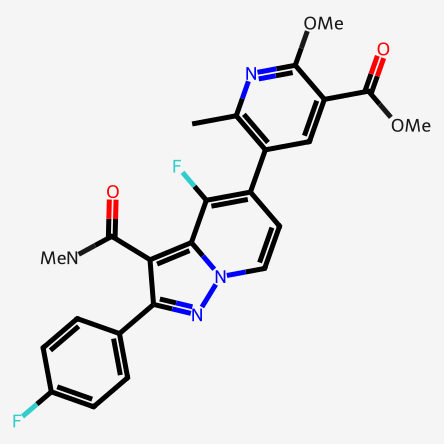 CNC(=O)c1c(-c2ccc(F)cc2)nn2ccc(-c3cc(C(=O)OC)c(OC)nc3C)c(F)c12